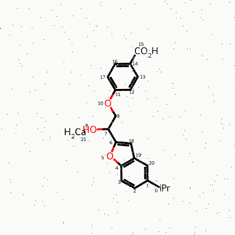 CC(C)c1ccc2oc(C(O)COc3ccc(C(=O)O)cc3)cc2c1.[CaH2]